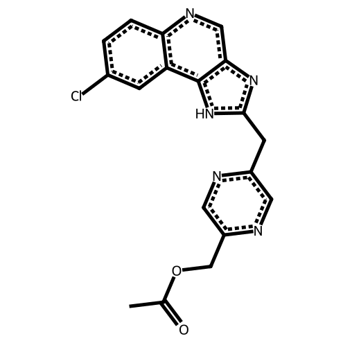 CC(=O)OCc1cnc(Cc2nc3cnc4ccc(Cl)cc4c3[nH]2)cn1